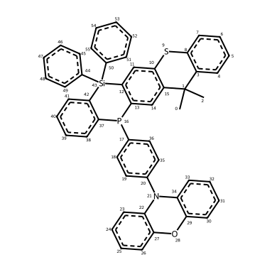 CC1(C)c2ccccc2Sc2cc3c(cc21)P(c1ccc(N2c4ccccc4Oc4ccccc42)cc1)c1ccccc1[Si]3(c1ccccc1)c1ccccc1